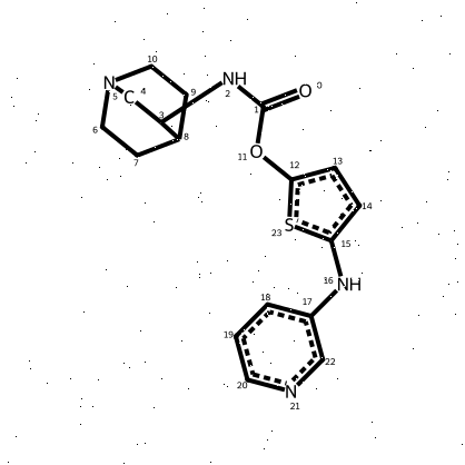 O=C(NC1CN2CCC1CC2)Oc1ccc(Nc2cccnc2)s1